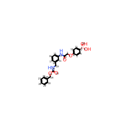 O=C(COc1ccc(B(O)O)cc1)Nc1cccc(CNC(=O)OCc2ccccc2)c1